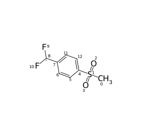 CS(=O)(=O)c1ccc([C](F)F)cc1